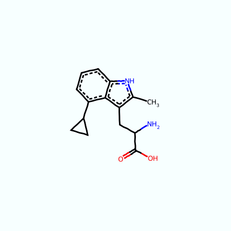 Cc1[nH]c2cccc(C3CC3)c2c1CC(N)C(=O)O